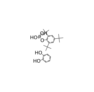 CC(C)(C)c1cc(C(C)(C)C)c(OP(O)O)c(C(C)(C)C)c1.Oc1ccccc1O